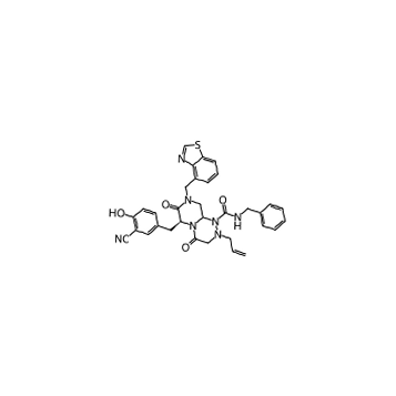 C=CCN1CC(=O)N2C(CN(Cc3cccc4scnc34)C(=O)[C@@H]2Cc2ccc(O)c(C#N)c2)N1C(=O)NCc1ccccc1